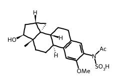 COc1cc2c(cc1N(C(C)=O)S(=O)(=O)O)CC[C@@H]1[C@@H]2CC[C@]2(C)[C@@H](O)C[C@@H]3C[C@]312